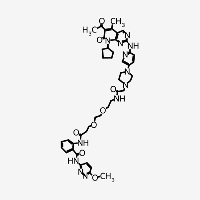 COc1ccc(NC(=O)c2ccccc2NC(=O)CCOCCOCCNC(=O)CN2CCN(c3ccc(Nc4ncc5c(C)c(C(C)=O)c(=O)n(C6CCCC6)c5n4)nc3)CC2)nn1